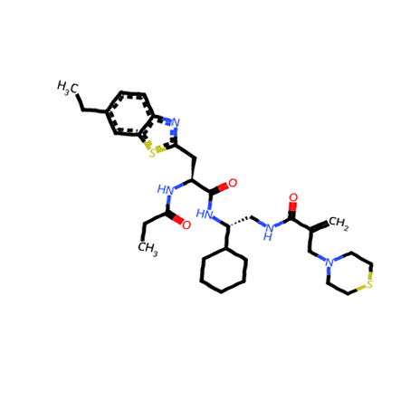 C=C(CN1CCSCC1)C(=O)NC[C@@H](NC(=O)[C@H](Cc1nc2ccc(CC)cc2s1)NC(=O)CC)C1CCCCC1